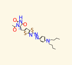 CCCCN(CCCC)c1ccc(/N=N/c2nc3sc(/C=C4\C(=O)NC(=O)N4C(C)=O)cc3s2)cc1